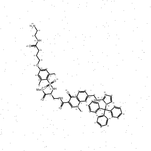 COC(=O)[C@H](CNC(=O)c1cn(C)c2cc(CNc3nccn3C(c3ccccc3)(c3ccccc3)c3ccccc3)ccc2c1=O)NS(=O)(=O)c1c(C)cc(OCCCC(=O)NCCN)cc1C